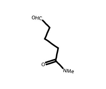 CNC(=O)CCCC=O